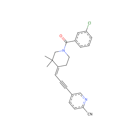 CC1(C)CN(C(=O)c2cccc(Cl)c2)CC/C1=C\C#Cc1ccc(C#N)nc1